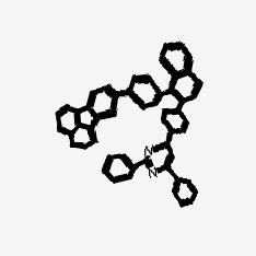 c1ccc(-c2cc(-c3ccc(-c4ccc5ccccc5c4-c4ccc(-c5ccc6c(c5)-c5cccc7cccc-6c57)cc4)cc3)nc(-c3ccccc3)n2)cc1